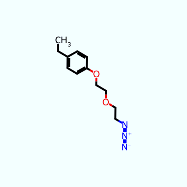 CCc1ccc(OCCOCCN=[N+]=[N-])cc1